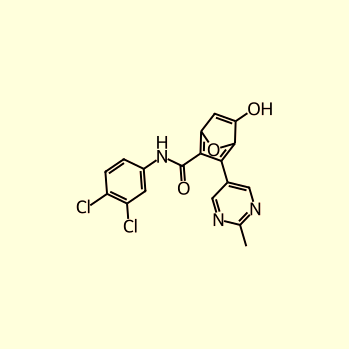 Cc1ncc(-c2c(C(=O)Nc3ccc(Cl)c(Cl)c3)c3cc(O)c2o3)cn1